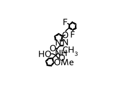 COC(=O)C(CO)(NC(=O)c1c(C)nc2c(OCc3c(F)cccc3F)cccn12)c1ccccc1